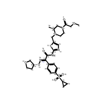 COCC(=O)N1CCN(Cc2cnc(NC(=O)/C(=N/O[C@@H]3CCOC3)c3ccc(S(=O)(=O)C4CC4)cc3)s2)[C@@H](C)C1